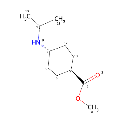 COC(=O)[C@H]1CC[C@H](NC(C)C)CC1